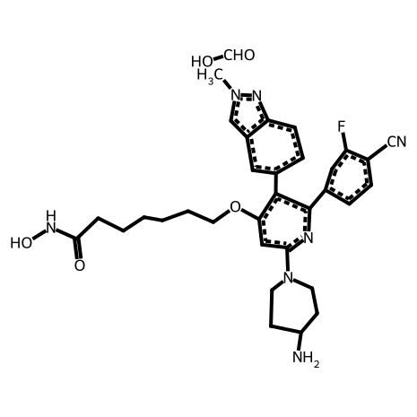 Cn1cc2cc(-c3c(OCCCCCCC(=O)NO)cc(N4CCC(N)CC4)nc3-c3ccc(C#N)c(F)c3)ccc2n1.O=CO